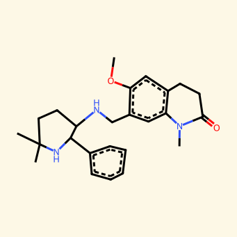 COc1cc2c(cc1CNC1CCC(C)(C)NC1c1ccccc1)N(C)C(=O)CC2